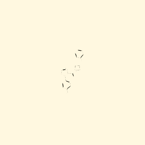 O=C(N1CC(Oc2ccccc2)C1)N1N=CCC1c1ccc(Cl)cc1